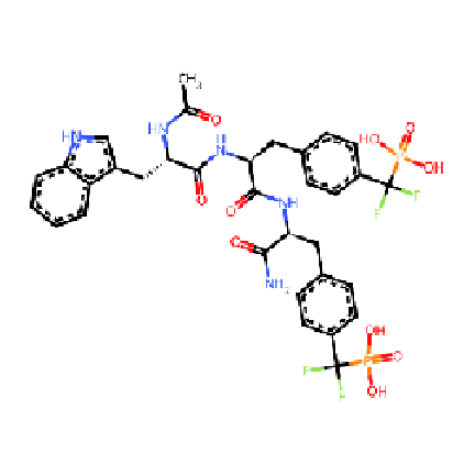 CC(=O)N[C@@H](Cc1c[nH]c2ccccc12)C(=O)N[C@@H](Cc1ccc(C(F)(F)P(=O)(O)O)cc1)C(=O)N[C@@H](Cc1ccc(C(F)(F)P(=O)(O)O)cc1)C(N)=O